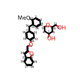 COc1ccc([C@H]2CC(O)CC(CO)O2)cc1Cc1ccc(OCc2cc3ccccc3o2)cc1